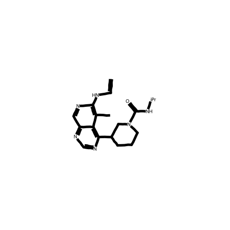 C=CNc1ncc2ncnc(C3CCCN(C(=O)NC(C)C)C3)c2c1C